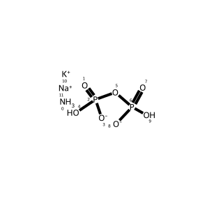 N.O=P([O-])(O)OP(=O)([O-])O.[K+].[Na+]